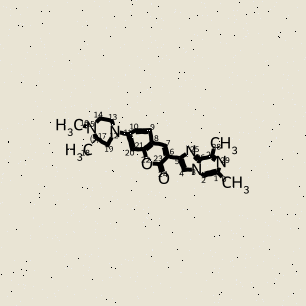 Cc1cn2cc(-c3cc4ccc(N5CCN(C)[C@@H](C)C5)cc4oc3=O)nc2c(C)n1